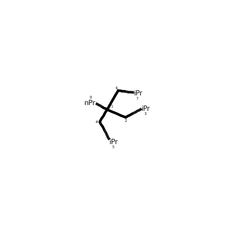 CCCC(CC(C)C)(CC(C)C)CC(C)C